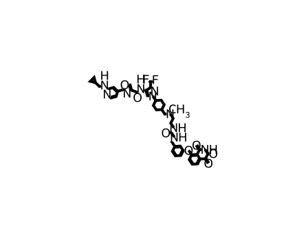 CN(CCNC(=O)NCc1cccc(Oc2cccc3c2C(=O)NC(=O)C3=O)c1)CC1CCC(n2cc(NC(=O)c3coc(-c4ccnc(NCC5CC5)c4)n3)c(C(F)F)n2)CC1